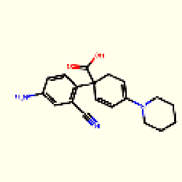 N#Cc1cc(N)ccc1C1(C(=O)O)C=CC(N2CCCCC2)=CC1